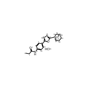 CCC(=O)Nc1ccc(-c2nnc(N3CCN4CCC3CC4)o2)cc1.Cl